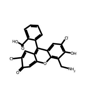 NCc1c(O)c(Cl)cc2c(-c3ccccc3C(=O)O)c3cc(Cl)c(=O)cc-3oc12